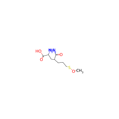 COSCCCC(CC(N)C(=O)O)C(N)=O